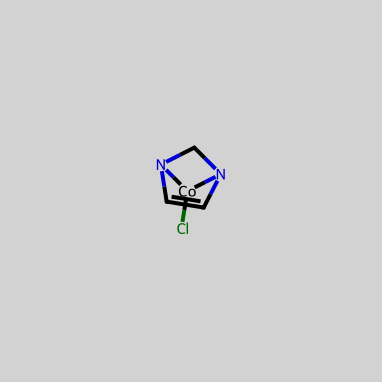 [Cl][Co]1[N]2C=C[N]1C2